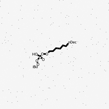 CCCCCCCCCCCCCCCCOOP(=O)(O)OOC(C)CC